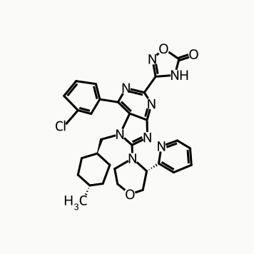 C[C@H]1CC[C@H](Cn2c(N3CCOC[C@H]3c3ccccn3)nc3nc(-c4noc(=O)[nH]4)nc(-c4cccc(Cl)c4)c32)CC1